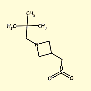 CC(C)(C)CN1CC(C[SH](=O)=O)C1